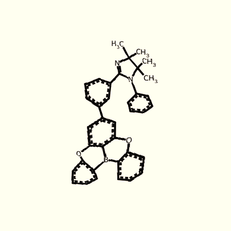 CC1(C)N=C(c2cccc(-c3cc4c5c(c3)Oc3ccccc3B5c3ccccc3O4)c2)N(c2ccccc2)C1(C)C